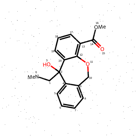 CNCC1(O)c2ccccc2COc2c(C(=O)OC)cccc21